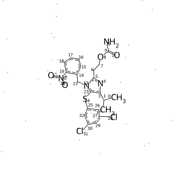 CC(C)c1nc(CCOC(N)=O)n(Cc2ccccc2[N+](=O)[O-])c1Sc1cc(Cl)cc(Cl)c1